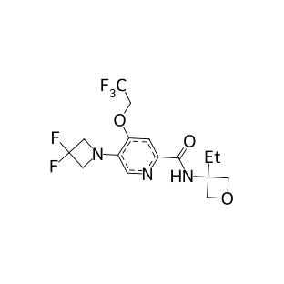 CCC1(NC(=O)c2cc(OCC(F)(F)F)c(N3CC(F)(F)C3)cn2)COC1